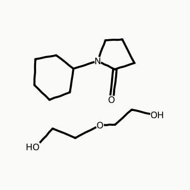 O=C1CCCN1C1CCCCC1.OCCOCCO